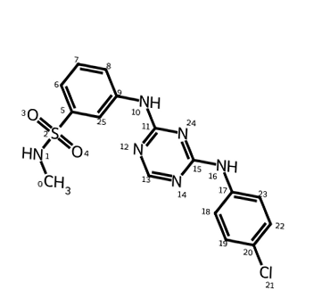 CNS(=O)(=O)c1cccc(Nc2ncnc(Nc3ccc(Cl)cc3)n2)c1